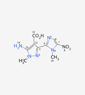 Cn1nc(-c2ncc([N+](=O)[O-])n2C)c(C(=O)O)c1N